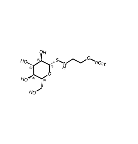 CCCCCCCCOCCNS[C@@H]1O[C@H](CO)[C@@H](O)[C@H](O)[C@H]1O